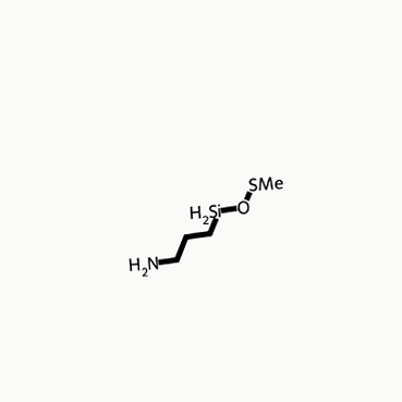 CSO[SiH2]CCCN